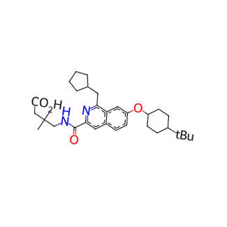 CC(C)(CNC(=O)c1cc2ccc(OC3CCC(C(C)(C)C)CC3)cc2c(CC2CCCC2)n1)CC(=O)O